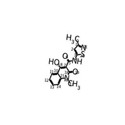 Cc1cc(NC(=O)c2c(O)c3ccccc3n(C)c2=O)sn1